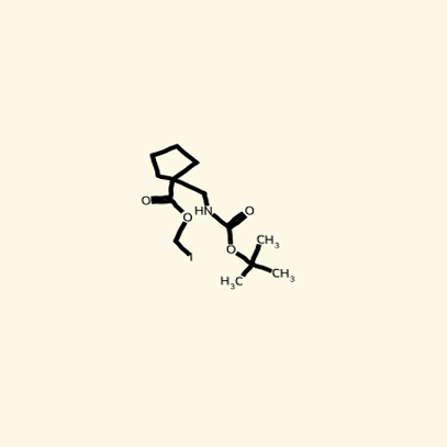 CC(C)(C)OC(=O)NCC1(C(=O)OCI)CCCC1